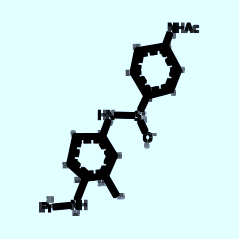 CC(=O)Nc1ccc([S+]([O-])Nc2ccc(NC(C)C)c(C)c2)cc1